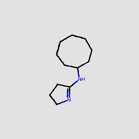 C1CCCC(NC2=NCCC2)CCC1